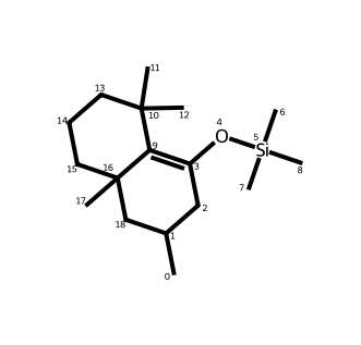 CC1CC(O[Si](C)(C)C)=C2C(C)(C)CCCC2(C)C1